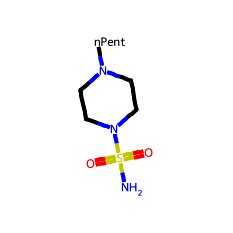 CCCCCN1CCN(S(N)(=O)=O)CC1